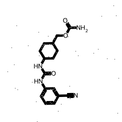 N#Cc1cccc(NC(=O)NC2CCC(COC(N)=O)CC2)c1